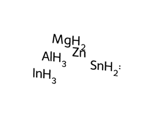 [AlH3].[InH3].[MgH2].[SnH2].[Zn]